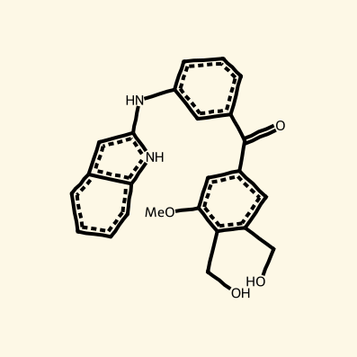 COc1cc(C(=O)c2cccc(Nc3cc4ccccc4[nH]3)c2)cc(CO)c1CO